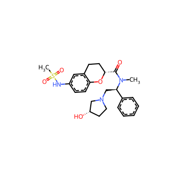 CN(C(=O)[C@H]1CCc2cc(NS(C)(=O)=O)ccc2O1)[C@H](CN1CC[C@H](O)C1)c1ccccc1